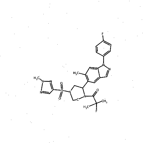 Cc1cc2c(cnn2-c2ccc(F)cc2)cc1C1CN(S(=O)(=O)c2cnn(C)n2)CCN1C(=O)C(C)(C)F